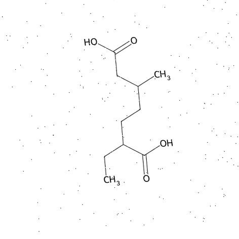 CCC(CCC(C)CC(=O)O)C(=O)O